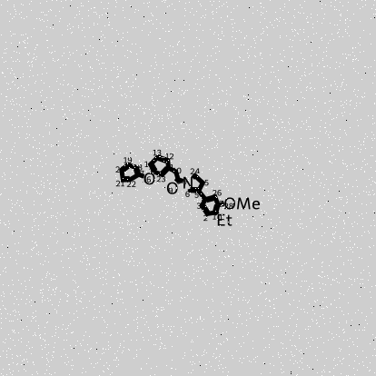 CCc1ccc(C2=CN(C(=O)Cc3cccc(Oc4ccccc4)c3)CC2)cc1OC